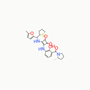 Cc1ccc(C(Nc2c(Nc3cccc(C(=O)N4CCC[C@@H]4C)c3O)c(=O)c2=O)C2CCCS2)o1